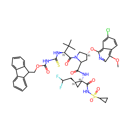 COc1cnc(O[C@@H]2CC(C(=O)N[C@]3(C(=O)NS(=O)(=O)C4CC4)C[C@H]3CC(F)F)N(C(=O)[C@@H](NC(=S)NC(=O)OCC3c4ccccc4-c4ccccc43)C(C)(C)C)C2)c2cc(Cl)ccc12